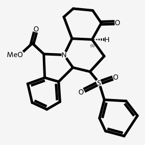 COC(=O)C1c2ccccc2C2C(S(=O)(=O)c3ccccc3)C[C@@H]3C(=O)CCCC3N12